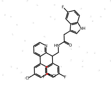 O=C(Cc1c[nH]c2ccc(F)cc12)NCC(c1cc(F)cc(F)c1)c1ncccc1-c1cc(Cl)cc(Cl)c1